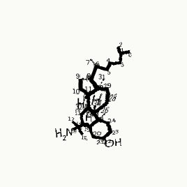 CC(C)CCC[C@@H](C)[C@H]1CC[C@H]2[C@@H]3CC(C(C)(C)N)=C4C[C@@H](O)CC[C@]4(C)[C@H]3CC[C@]12C